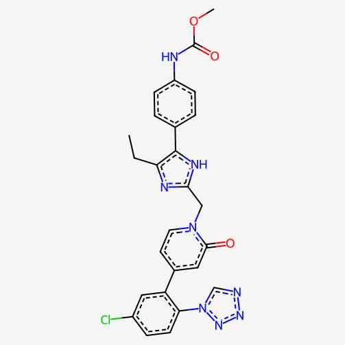 CCc1nc(Cn2ccc(-c3cc(Cl)ccc3-n3cnnn3)cc2=O)[nH]c1-c1ccc(NC(=O)OC)cc1